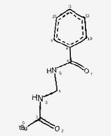 CC(C)(C)C(=O)NCNC(=O)c1ccccc1